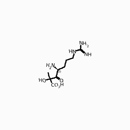 CC(O)(C(=O)O)C(=O)[C@@H](N)CCCNC(=N)N